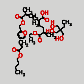 C=C(C)C(=O)OCc1ccco1.C=C(CC=C(C)C(=O)O)C(=O)OC.C=CC(=O)OCCCC.CCC(CO)(CO)CO